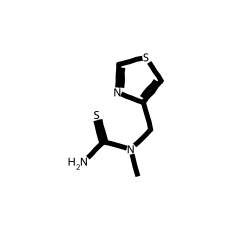 CN(Cc1cscn1)C(N)=S